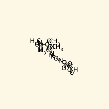 COc1cc(-c2cn(C)c(=O)c3cnccc23)cc(OC)c1CN(C)CCCn1cc(COC2CN(c3ccc4c(c3)C(=O)N(C3CCC(=O)NC3=O)C4=O)C2)nn1